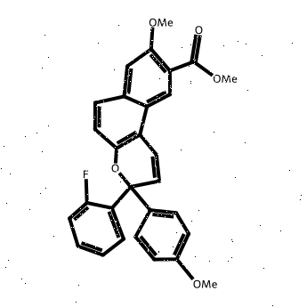 COC(=O)c1cc2c3c(ccc2cc1OC)OC(c1ccc(OC)cc1)(c1ccccc1F)C=C3